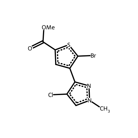 COC(=O)c1cc(-c2nn(C)cc2Cl)c(Br)s1